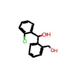 OCc1ccccc1C(O)c1ccccc1Cl